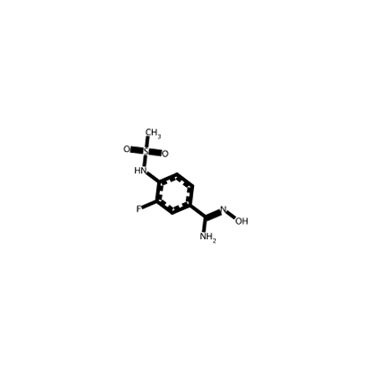 CS(=O)(=O)Nc1ccc(C(N)=NO)cc1F